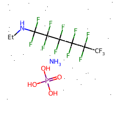 CCNC(F)(F)C(F)(F)C(F)(F)C(F)(F)C(F)(F)C(F)(F)F.N.O=P(O)(O)O